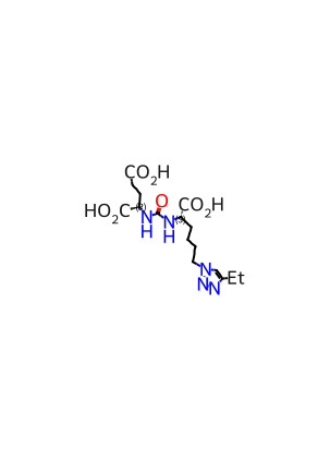 CCc1cn(CCCC[C@H](NC(=O)N[C@H](CCC(=O)O)C(=O)O)C(=O)O)nn1